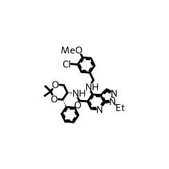 CCn1ncc2c(NCc3ccc(OC)c(Cl)c3)c(C(=O)N[C@H]3COC(C)(C)O[C@H]3c3ccccc3)cnc21